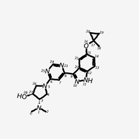 CN(C)[C@H]1CN(c2cc(-c3n[nH]c4ccc(OC5(C)CC5)cc34)ncn2)C[C@@H]1O